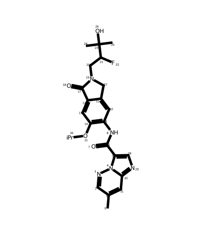 Cc1cnn2c(C(=O)Nc3cc4c(cc3OC(C)C)C(=O)N(CC(F)C(C)(C)O)C4)cnc2c1